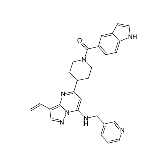 C=Cc1cnn2c(NCc3cccnc3)cc(C3CCN(C(=O)c4ccc5[nH]ccc5c4)CC3)nc12